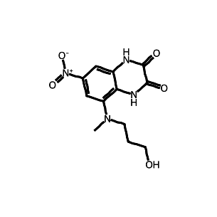 CN(CCCO)c1cc([N+](=O)[O-])cc2[nH]c(=O)c(=O)[nH]c12